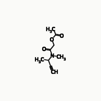 C#CC(C)N(C)C(=O)COC(C)=O